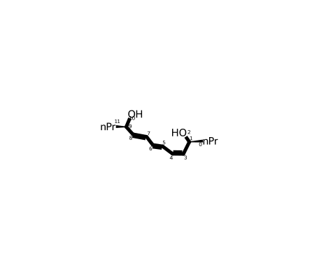 CCC[C@H](O)\C=C/C=C/C=C/[C@H](O)CCC